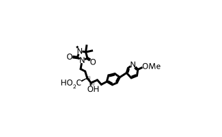 COc1ccc(-c2ccc(CC[C@@H](O)[C@H](CCN3C(=O)N(C)C(C)(C)C3=O)C(=O)O)cc2)cn1